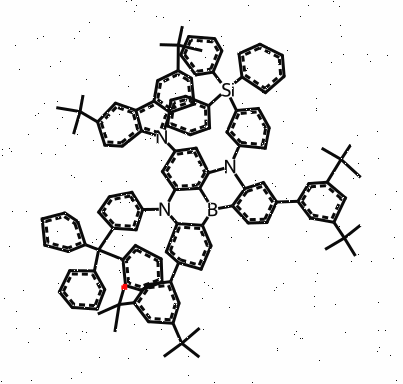 CC(C)(C)c1cc(-c2ccc3c(c2)N(c2cccc(C(c4ccccc4)(c4ccccc4)c4ccccc4)c2)c2cc(-n4c5ccc(C(C)(C)C)cc5c5cc(C(C)(C)C)ccc54)cc4c2B3c2ccc(-c3cc(C(C)(C)C)cc(C(C)(C)C)c3)cc2N4c2cccc([Si](c3ccccc3)(c3ccccc3)c3ccccc3)c2)cc(C(C)(C)C)c1